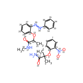 CC(C)(Oc1ccccc1[N+](=O)[O-])C(N)=O.CNC(=O)C(C)Oc1ccccc1N=Nc1ccccc1